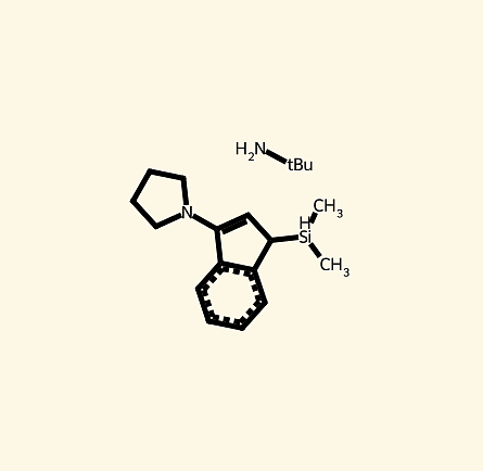 CC(C)(C)N.C[SiH](C)C1C=C(N2CCCC2)c2ccccc21